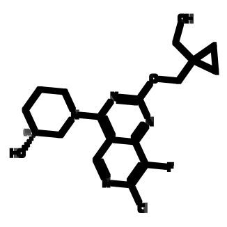 OCC1(COc2nc(N3CCC[C@@H](O)C3)c3cnc(Cl)c(F)c3n2)CC1